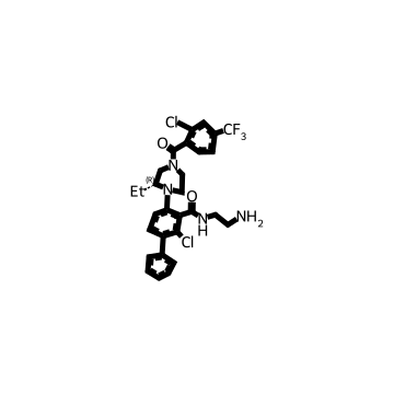 CC[C@@H]1CN(C(=O)c2ccc(C(F)(F)F)cc2Cl)CCN1c1ccc(-c2ccccc2)c(Cl)c1C(=O)NCCN